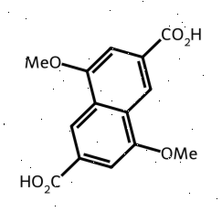 COc1cc(C(=O)O)cc2c(OC)cc(C(=O)O)cc12